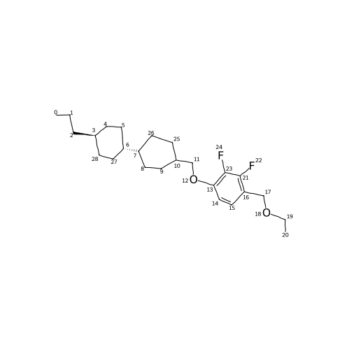 CCC[C@H]1CC[C@H](C2CCC(COc3ccc(COCC)c(F)c3F)CC2)CC1